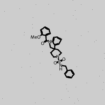 COc1ccccc1C(=O)NCC1(c2ccccc2)CCN(S(=O)(=O)NCc2ccccc2)CC1